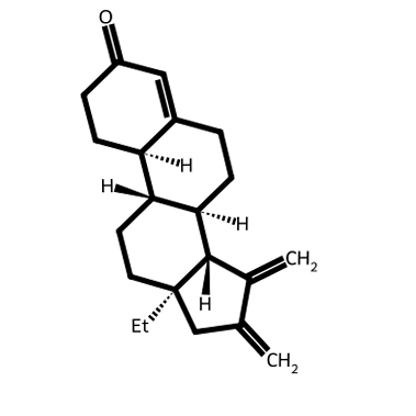 C=C1C[C@@]2(CC)CC[C@H]3[C@@H](CCC4=CC(=O)CC[C@@H]43)[C@@H]2C1=C